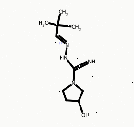 CC(C)(C)/C=N/NC(=N)N1CCC(O)C1